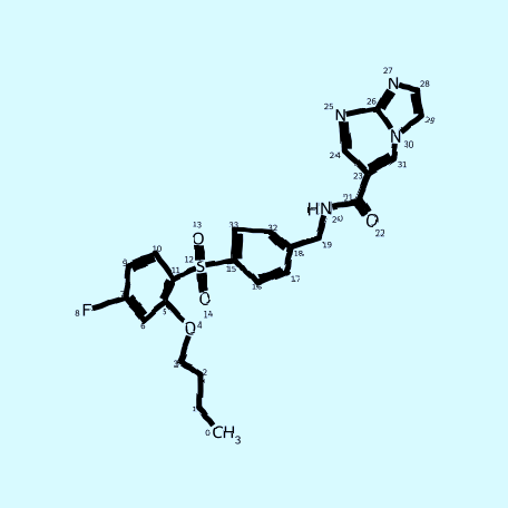 CCCCOc1cc(F)ccc1S(=O)(=O)c1ccc(CNC(=O)c2cnc3nccn3c2)cc1